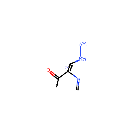 C=N/C(=C\NN)C(C)=O